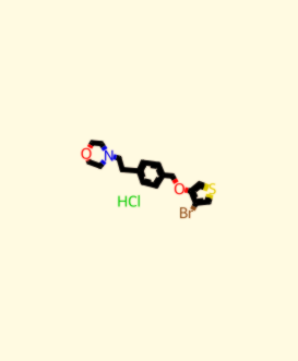 Brc1cscc1OCc1ccc(CCN2CCOCC2)cc1.Cl